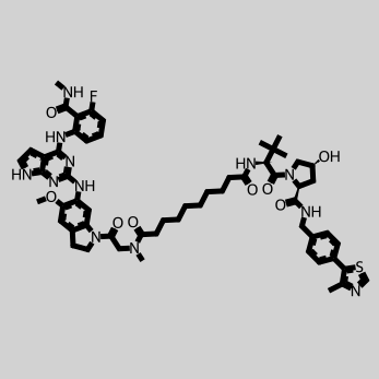 CNC(=O)c1c(F)cccc1Nc1nc(Nc2cc3c(cc2OC)CCN3C(=O)CN(C)C(=O)CCCCCCCCC(=O)N[C@H](C(=O)N2C[C@H](O)C[C@H]2C(=O)NCc2ccc(-c3scnc3C)cc2)C(C)(C)C)nc2[nH]ccc12